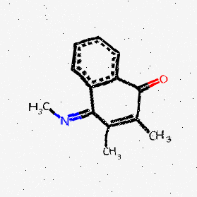 C/N=C1/C(C)=C(C)C(=O)c2ccccc21